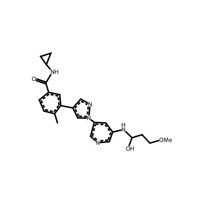 COCCC(O)Nc1cncc(-n2cc(-c3cc(C(=O)NC4CC4)ccc3C)cn2)c1